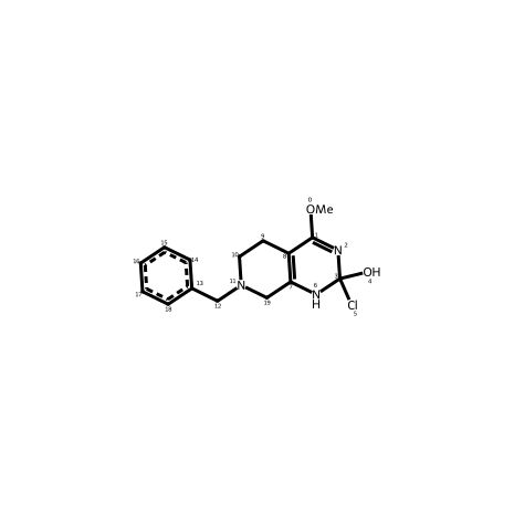 COC1=NC(O)(Cl)NC2=C1CCN(Cc1ccccc1)C2